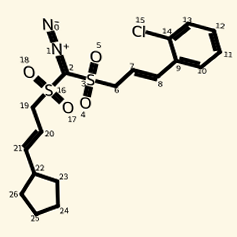 [N-]=[N+]=C(S(=O)(=O)CC=Cc1ccccc1Cl)S(=O)(=O)CC=CC1CCCC1